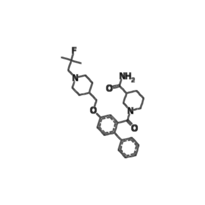 CC(C)(F)CN1CCC(COc2ccc(-c3ccccc3)c(C(=O)N3CCCC(C(N)=O)C3)c2)CC1